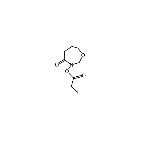 O=C(CI)ON1COCCCC1=O